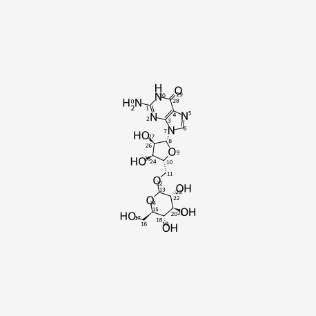 Nc1nc2c(ncn2[C@@H]2O[C@H](COC3O[C@H](CO)[C@@H](O)[C@H](O)[C@H]3O)[C@@H](O)[C@H]2O)c(=O)[nH]1